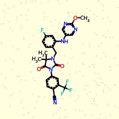 COc1ncc(Nc2cc(F)ccc2CN2C(=O)N(c3ccc(C#N)c(C(F)(F)F)c3)C(=O)C2(C)C)cn1